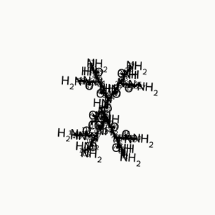 CCCC(=O)NCN(CC(=O)NCN(CCC(=O)NCCN(CCC(=O)NCCN)CCC(=O)NCCN)CCC(=O)NCCN(CCC(=O)NCCN)CCC(=O)NCCN)CC(=O)NN(CCC(=O)CCCN(CCC(=O)NCCN)CCC(=O)NCCN)CCC(=O)NCCN(CCC(=O)NCCN)CCC(=O)NCCN